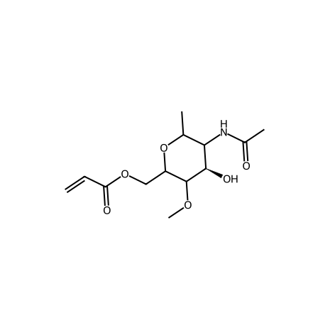 C=CC(=O)OCC1OC(C)C(NC(C)=O)[C@@H](O)C1OC